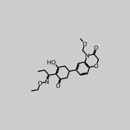 CCON=C(CC)C1=C(O)CC(c2ccc3c(c2)N(COC)C(=O)CO3)CC1=O